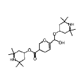 CC1(C)CC(OC(=O)C2CC=C(C(O)OC3CC(C)(C)NC(C)(C)C3)OC2)CC(C)(C)N1